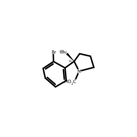 CC(C)(C)[C@@]1(c2ccccc2Br)CCCN1C(=O)O